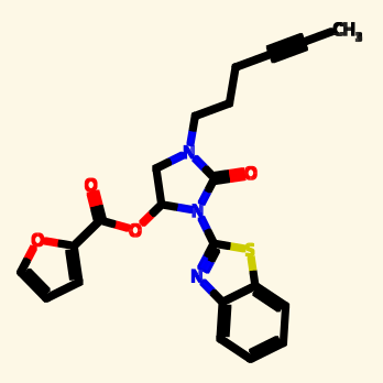 CC#CCCCN1CC(OC(=O)c2ccco2)N(c2nc3ccccc3s2)C1=O